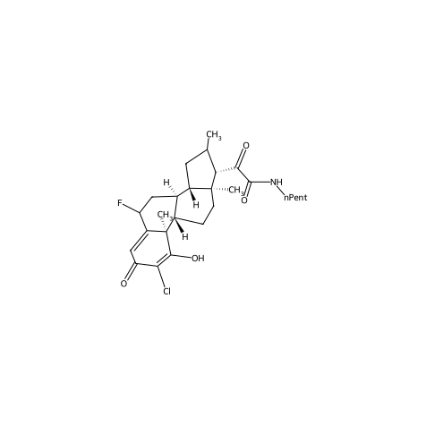 CCCCCNC(=O)C(=O)[C@H]1C(C)C[C@H]2[C@@H]3CC(F)C4=CC(=O)C(Cl)=C(O)[C@]4(C)[C@H]3CC[C@]12C